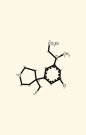 CCOC(=O)C[C@@H](C)c1cc(Cl)cc(C2(CF)CCOCC2)c1